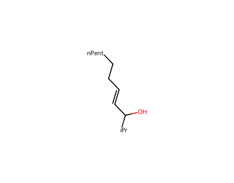 CCCCCCCC=CC(O)C(C)C